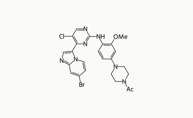 COc1cc(N2CCN(C(C)=O)CC2)ccc1Nc1ncc(Cl)c(-c2cnc3cc(Br)ccn23)n1